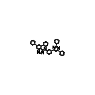 c1ccc(-c2cc3c4c(ncnc4c2)N(c2cccc(-c4cc(-c5ccccc5)nc(-c5ccccc5)n4)c2)c2ccccc2-3)cc1